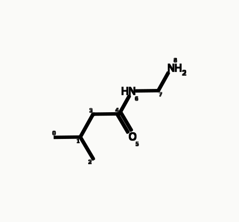 CC(C)CC(=O)NCN